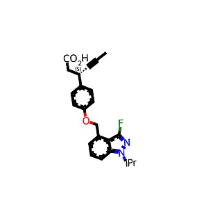 CC#C[C@@H](CC(=O)O)c1ccc(OCc2cccc3c2c(F)nn3C(C)C)cc1